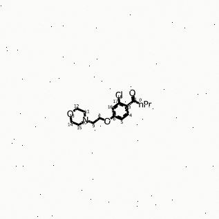 CCCC(=O)c1ccc(OCCN2CCOCC2)cc1Cl